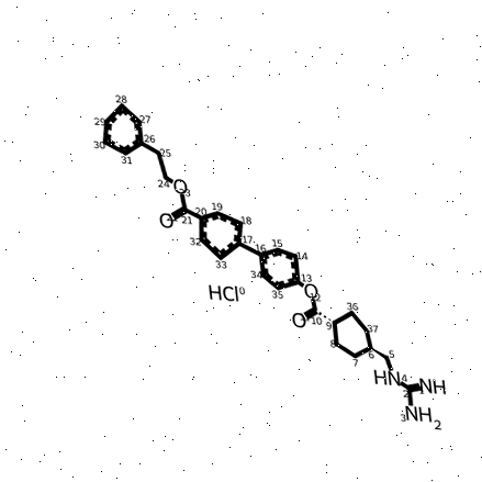 Cl.N=C(N)NC[C@H]1CC[C@H](C(=O)Oc2ccc(-c3ccc(C(=O)OCCc4ccccc4)cc3)cc2)CC1